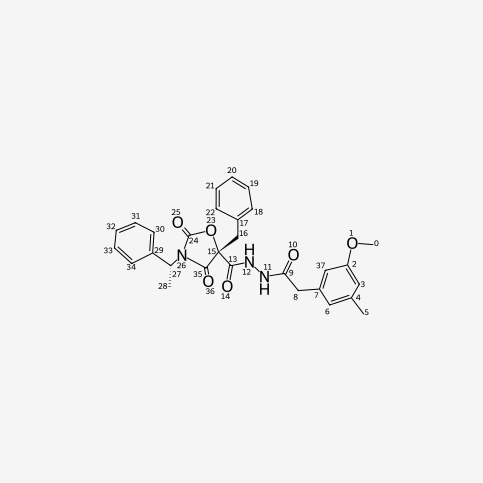 COc1cc(C)cc(CC(=O)NNC(=O)[C@@]2(Cc3ccccc3)OC(=O)N([C@H](C)c3ccccc3)C2=O)c1